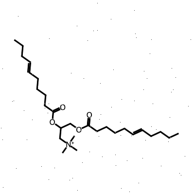 CCC/C=C/CCCCC(=O)OC(COC(=O)CCCC/C=C/CCCC)C[N+](C)(C)C